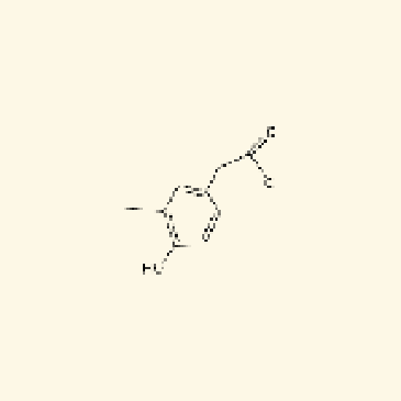 Cc1cc(CC(=O)Cl)ccc1O